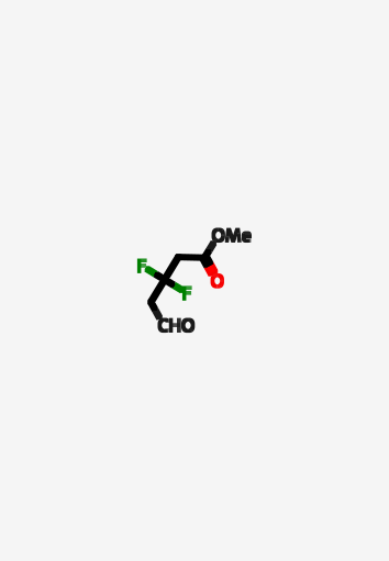 COC(=O)CC(F)(F)CC=O